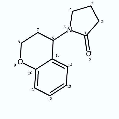 O=C1CCCN1C1CCOc2ccccc21